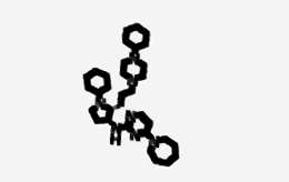 c1cc(N2CCCCCC2)nc(N[C@H]2CCN(C3CCCCC3)[C@@H]2CCCN2CCN(C3CCCCC3)CC2)n1